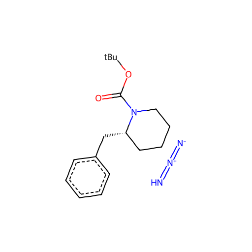 CC(C)(C)OC(=O)N1CCCC[C@@H]1Cc1ccccc1.[N-]=[N+]=N